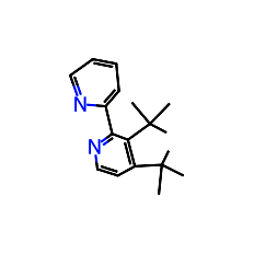 CC(C)(C)c1ccnc(-c2ccccn2)c1C(C)(C)C